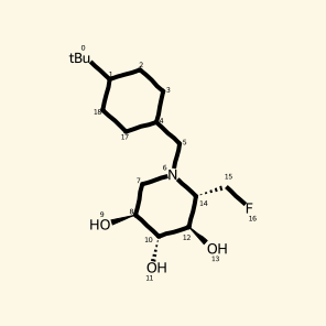 CC(C)(C)C1CCC(CN2C[C@H](O)[C@@H](O)[C@H](O)[C@H]2CF)CC1